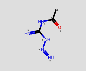 CC(=O)NC(=N)NN=N